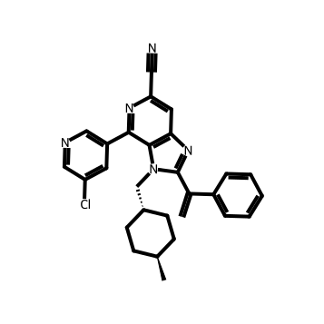 C=C(c1ccccc1)c1nc2cc(C#N)nc(-c3cncc(Cl)c3)c2n1C[C@H]1CC[C@H](C)CC1